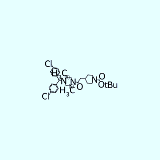 C[C@@H]1CN(C(=O)CC2CCN(C(=O)OC(C)(C)C)CC2)[C@@H](C)CN1C(c1ccc(Cl)cc1)c1ccc(Cl)cc1